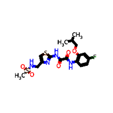 CC(C)COc1cc(F)ccc1NC(=O)C(=O)Nc1nc(CNS(C)(=O)=O)cs1